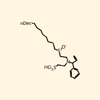 C=CC(c1ccccc1)N(CC[S+]([O-])CCCCCCCCCCCCCCCCCC)CCS(=O)(=O)O